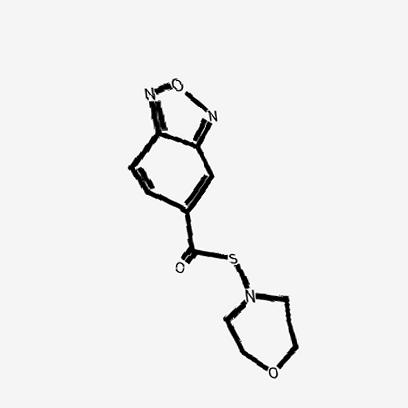 O=C(SN1CCOCC1)c1ccc2nonc2c1